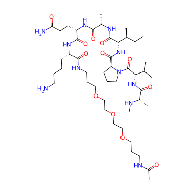 CC[C@H](C)[C@H](NC(=O)[C@@H]1CCCN1C(=O)[C@@H](NC(=O)[C@H](C)NC)C(C)C)C(=O)N[C@@H](C)C(=O)N[C@@H](CCC(N)=O)C(=O)N[C@@H](CCCCN)C(=O)NCCCOCCOCCOCCCNC(C)=O